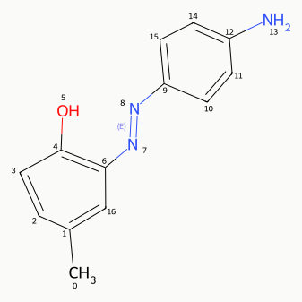 Cc1ccc(O)c(/N=N/c2ccc(N)cc2)c1